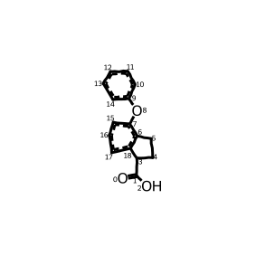 O=C(O)C1CCc2c(Oc3ccccc3)cccc21